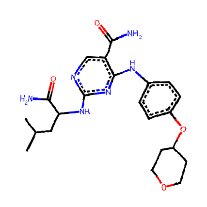 CC(C)CC(Nc1ncc(C(N)=O)c(Nc2ccc(OC3CCOCC3)cc2)n1)C(N)=O